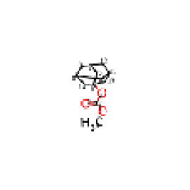 COC(=O)OC12CC3CC(CC(C3)C1)C2